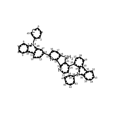 c1ccc(-n2c3ccccc3c3ccc(-c4ccc5c(n4)-c4nccc(-c6cccc7c8ccccc8n(-c8ccccc8)c67)c4[SiH2]5)cc32)cc1